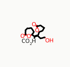 O=C1CCCC(C(CCO)=C(C(=O)O)C2CCCCC(=O)O2)O1